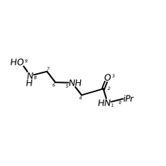 CC(C)NC(=O)CNCCNO